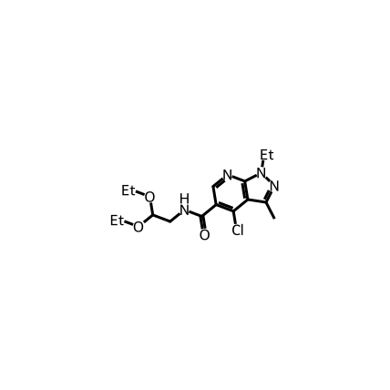 CCOC(CNC(=O)c1cnc2c(c(C)nn2CC)c1Cl)OCC